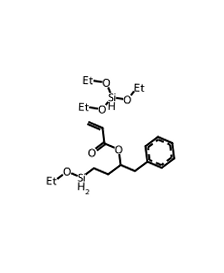 C=CC(=O)OC(CC[SiH2]OCC)Cc1ccccc1.CCO[SiH](OCC)OCC